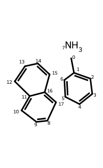 Cc1ccccc1.N.c1ccc2ccccc2c1